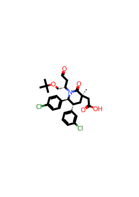 CC(C)(C)OC[C@H](CC=O)N1C(=O)[C@@](C)(CC(=O)O)C[C@H](c2cccc(Cl)c2)[C@H]1c1ccc(Cl)cc1